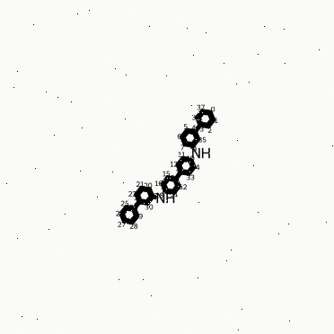 c1ccc(-c2cccc(Nc3ccc(-c4ccc(Nc5cccc(-c6ccccc6)c5)cc4)cc3)c2)cc1